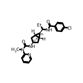 CCC(NC(=O)c1ccc(Cl)cc1)[C@H]1[C@@H]2C[C@@H](NC(=O)N(C)c3ccccn3)C[C@@H]21